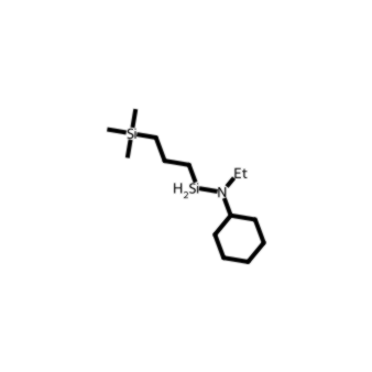 CCN([SiH2]CCC[Si](C)(C)C)C1CCCCC1